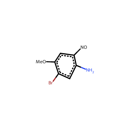 COc1cc(N=O)c(N)cc1Br